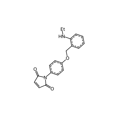 CCNc1ccccc1COc1ccc(N2C(=O)C=CC2=O)cc1